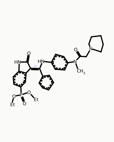 CCOP(=O)(OCC)c1ccc2c(c1)/C(=C(/Nc1ccc(N(C)C(=O)CN3CCCCC3)cc1)c1ccccc1)C(=O)N2